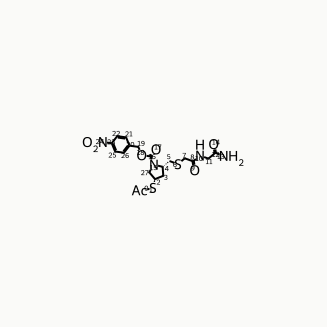 CC(=O)S[C@H]1C[C@@H](CSCC(=O)NCC(N)=O)N(C(=O)OCc2ccc([N+](=O)[O-])cc2)C1